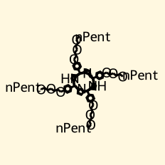 CCCCCOCCOCCOc1ccc(-c2c3nc(c(-c4ccc(OCCOCCOCCCCC)cc4)c4ccc([nH]4)c(-c4ccc(OCOCCOCCCCC)cc4)c4nc(c(-c5ccc(OCCOCCOCCCCC)cc5)c5ccc2[nH]5)C=C4)C=C3)cc1